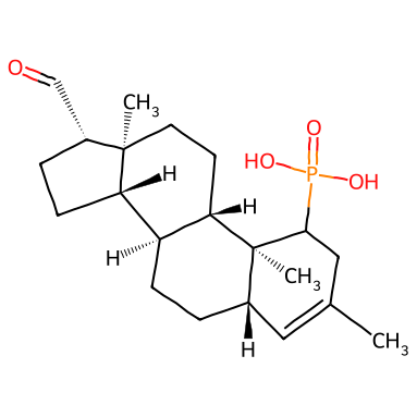 CC1=C[C@@H]2CC[C@H]3[C@@H]4CC[C@H](C=O)[C@@]4(C)CC[C@@H]3[C@@]2(C)C(P(=O)(O)O)C1